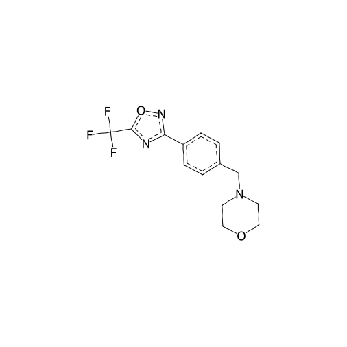 FC(F)(F)c1nc(-c2ccc(CN3CCOCC3)cc2)no1